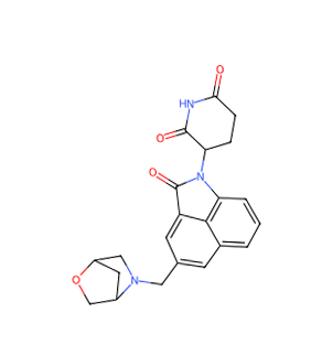 O=C1CCC(N2C(=O)c3cc(CN4CC5CC4CO5)cc4cccc2c34)C(=O)N1